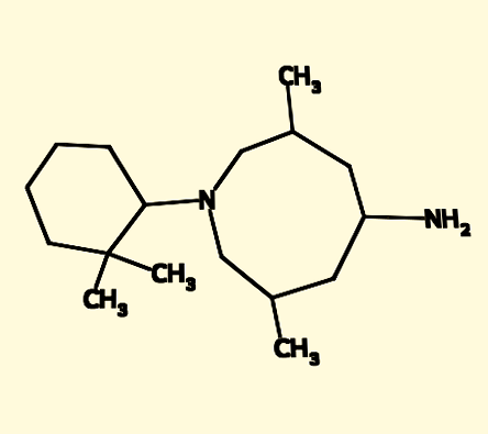 CC1CC(N)CC(C)CN(C2CCCCC2(C)C)C1